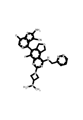 CN(C)C1CN(c2nc(NCc3cccnn3)c3c4c(c(-c5ncc(F)c6sc(N)c(C#N)c56)c(F)c3n2)COC4)C1